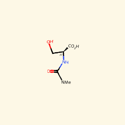 CNC(=O)N[C@@H](CO)C(=O)O